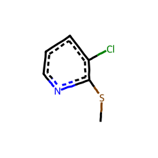 CSc1ncccc1Cl